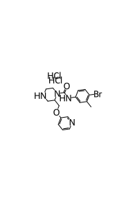 Cc1cc(NC(=O)N2CCNCC2COc2cccnc2)ccc1Br.Cl.Cl